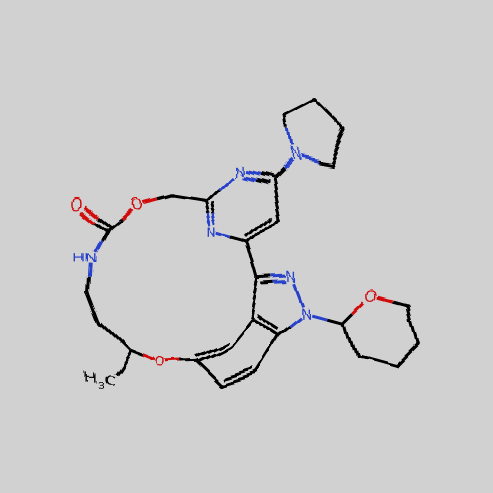 CC1CCNC(=O)OCc2nc(cc(N3CCCC3)n2)-c2nn(C3CCCCO3)c3ccc(cc23)O1